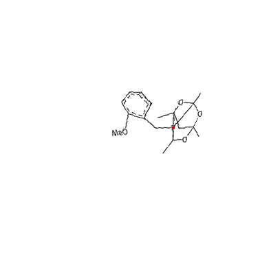 COc1ccccc1CP1C2(C)CC3(C)OC(C)(CC1(C)O3)O2